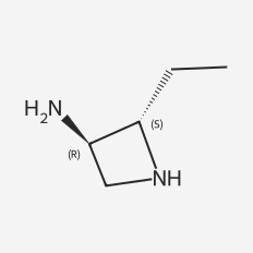 CC[C@@H]1NC[C@H]1N